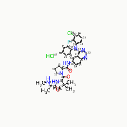 CN[C@@H](C)C(=O)N[C@H](C(=O)N1CCC[C@H]1C(=O)Nc1ccc2ncnc(N(c3ccccc3)c3cccc(Cl)c3F)c2c1)C(C)(C)C.Cl